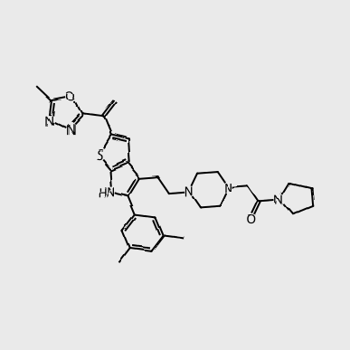 C=C(c1nnc(C)o1)c1cc2c(CCN3CCN(CC(=O)N4CCCC4)CC3)c(-c3cc(C)cc(C)c3)[nH]c2s1